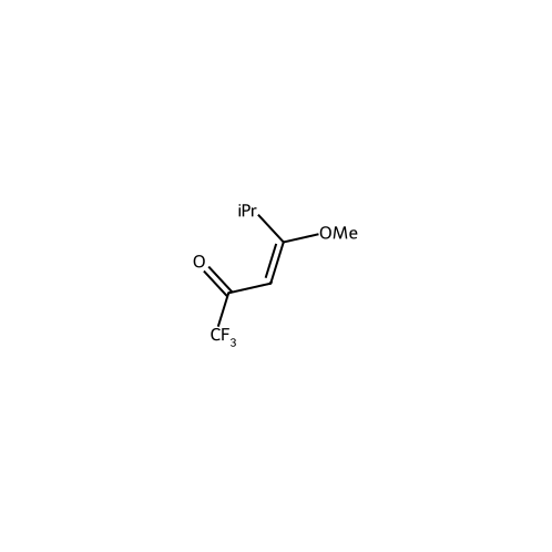 COC(=CC(=O)C(F)(F)F)C(C)C